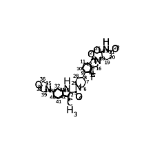 Cc1c(C(=O)N2CCC(c3ccc4c(c3F)CN(C3CCC(=O)NC3=O)C4=O)CC2)[nH]c2cc(N3CCOCC3)ccc12